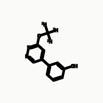 [2H]C([2H])([2H])Oc1cc(-c2cccc(O)c2)cnn1